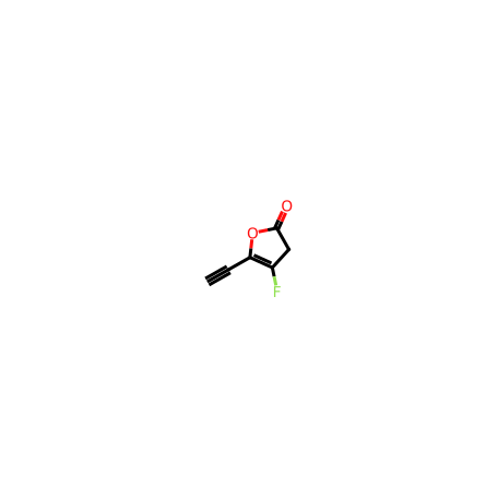 C#CC1=C(F)CC(=O)O1